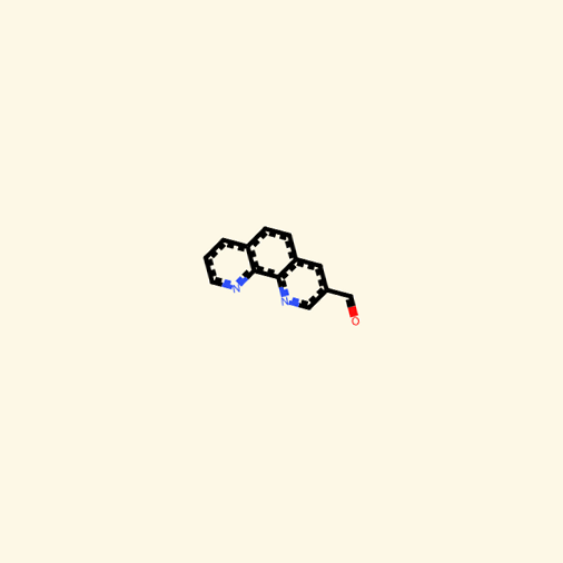 O=Cc1cnc2c(ccc3cccnc32)c1